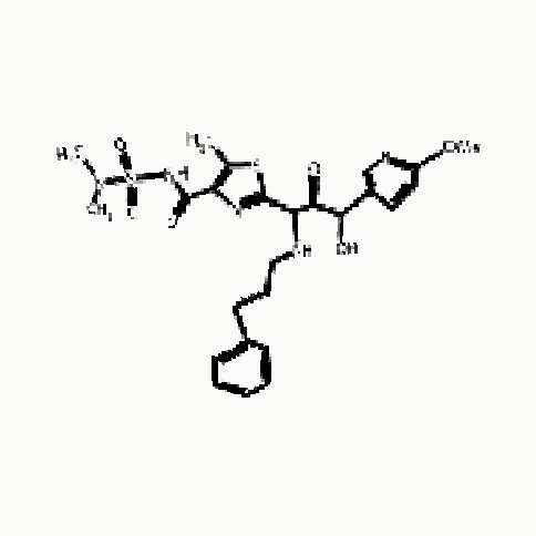 COc1ccc(C(O)C(=O)C(NCCCc2ccccc2)c2nc(C(=O)NS(=O)(=O)N(C)C)c(C)s2)cn1